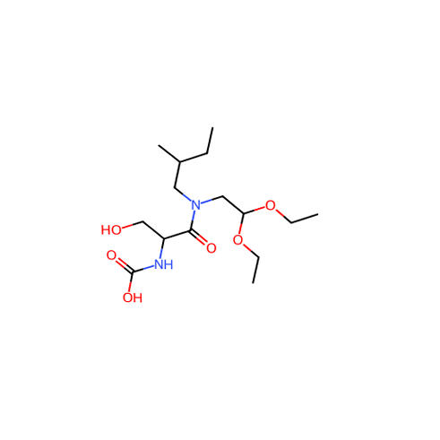 CCOC(CN(CC(C)CC)C(=O)C(CO)NC(=O)O)OCC